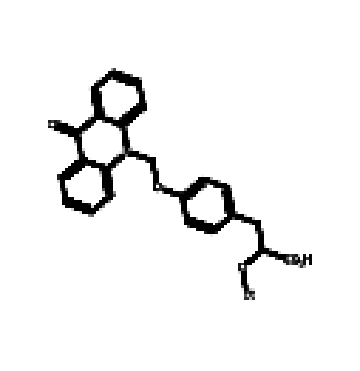 CCOC(Cc1ccc(OCn2c3ccccc3c(=O)c3ccccc32)cc1)C(=O)O